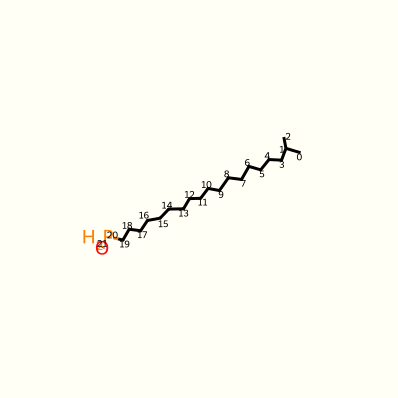 CC(C)CCCCCCCCCCCCCCCCC[PH2]=O